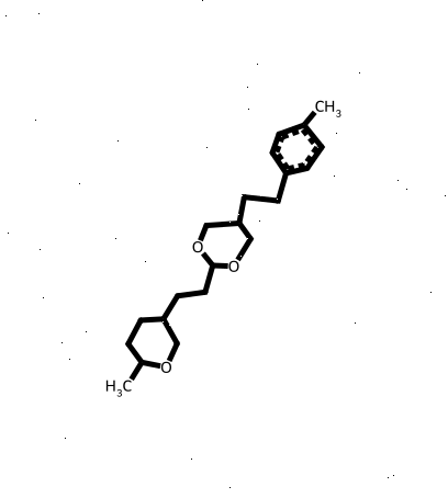 Cc1ccc(CCC2COC(CCC3CCC(C)OC3)OC2)cc1